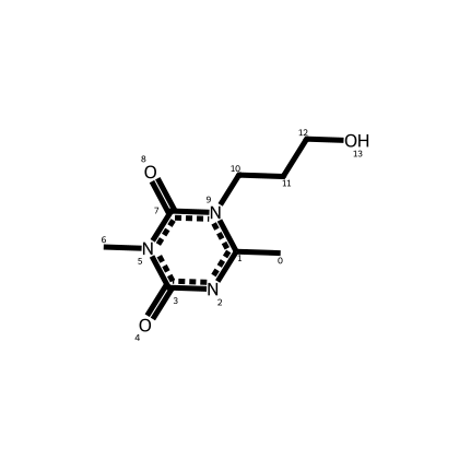 Cc1nc(=O)n(C)c(=O)n1CCCO